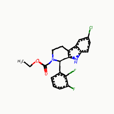 CCOC(=O)N1CCc2c([nH]c3ccc(Cl)cc23)C1c1cccc(F)c1F